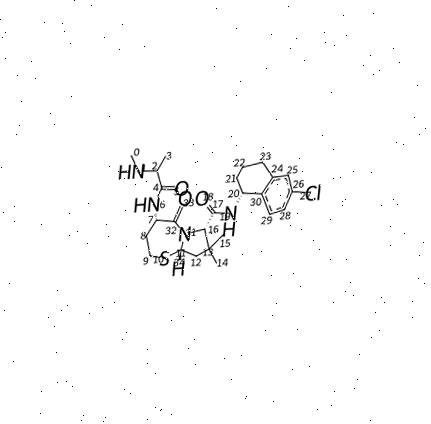 CNC(C)C(=O)N[C@H]1CCS[C@H]2CC(C)(C)[C@@H](C(=O)N[C@@H]3CCCc4cc(Cl)ccc43)N2C1=O